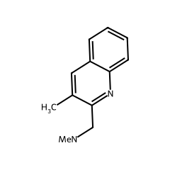 CNCc1nc2ccccc2cc1C